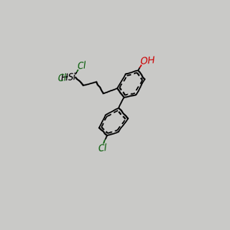 Oc1ccc(-c2ccc(Cl)cc2)c(CCC[SiH](Cl)Cl)c1